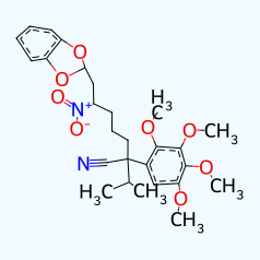 COc1cc(C(C#N)(CCCC(CC2Oc3ccccc3O2)[N+](=O)[O-])C(C)C)c(OC)c(OC)c1OC